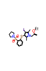 C=C(Cn1c(C)c(I)c(Sc2ccccc2S(=O)(=O)N2CCCC2)c1C)OCC